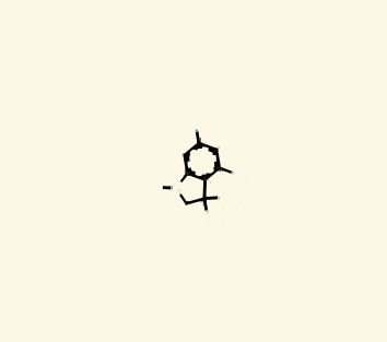 CN1CC(C)(C)c2c(Cl)cc(Cl)cc21